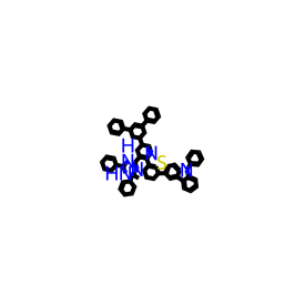 CC1(C2C=CCCC2)N=C(C2=C(C3=C4Sc5cc6c(cc5C4CCC3)c3ccccc3n6-c3ccccc3)N=CC(C3CC(C4=CC=CCC4)=CC(C4=CCCC=C4)C3)C2)NC(C2C=CCCC2)N1